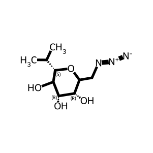 CC(C)[C@@H]1OC(CN=[N+]=[N-])[C@H](O)[C@H](O)C1O